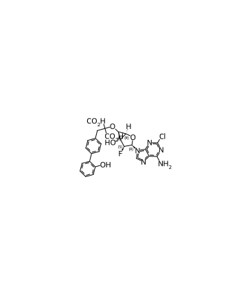 Nc1nc(Cl)nc2c1ncn2[C@@H]1O[C@@H]2C(OC(Cc3ccc(-c4ccccc4O)cc3)(C(=O)O)C(=O)O)[C@]2(O)[C@@H]1F